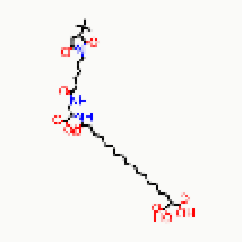 CC(C)(C)C1CC(=O)N(CCCCCC(=O)NCC(NC(=O)CCCCCCCCCCCCCCCC(C(=O)O)C(=O)O)C(=O)O)C1=O